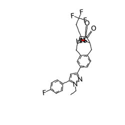 CCn1nc(-c2ccc3c(c2)CC2CCC(C3)C23CN(CC(F)(F)F)S(=O)(=O)N3)cc1-c1ccc(F)cc1